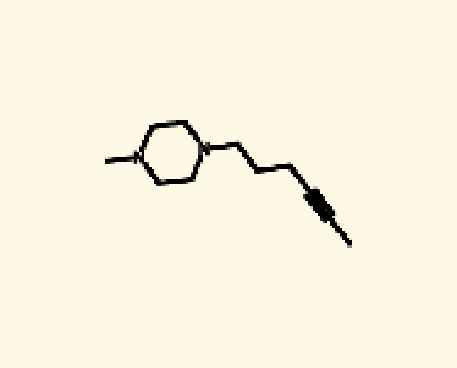 CC#CCCCN1CCN(C)CC1